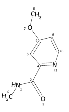 CNC(=O)c1cc(OC)[c]cn1